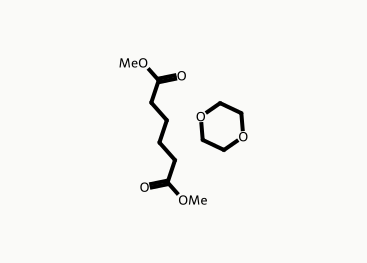 C1COCCO1.COC(=O)CCCCC(=O)OC